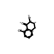 O=C1c2c(Cl)cccc2CCC1Br